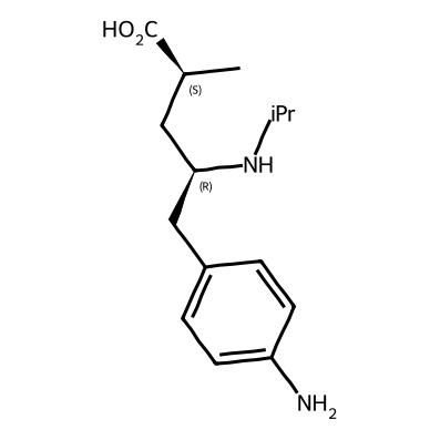 CC(C)N[C@@H](Cc1ccc(N)cc1)C[C@H](C)C(=O)O